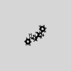 Cc1c(-c2csc(Nc3ccccc3)n2)cnn1-c1ccccc1